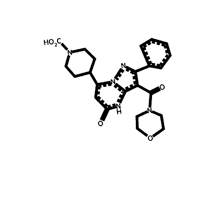 O=C(O)N1CCC(c2cc(=O)[nH]c3c(C(=O)N4CCOCC4)c(-c4ccccc4)nn23)CC1